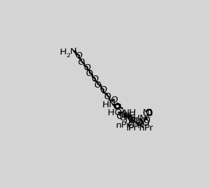 CCCO[C@H](C[C@H](C(C)C)N(CCC)C(=O)[C@@H](NC(=O)[C@H]1CCCCN1C)[C@@H](C)CC)c1nc(C(=O)N[C@@H](Cc2ccc(NC(=O)CCOCCOCCOCCOCCOCCOCCOCCOCCN)cc2)C(O)O)cs1